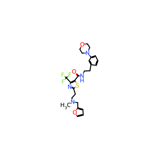 CN(CCc1nc(C(F)(F)F)c(C(=O)NCCc2cccc(N3CCOCC3)c2)s1)Cc1ccco1